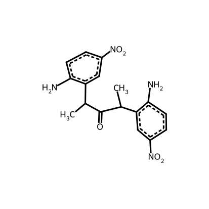 CC(C(=O)C(C)c1cc([N+](=O)[O-])ccc1N)c1cc([N+](=O)[O-])ccc1N